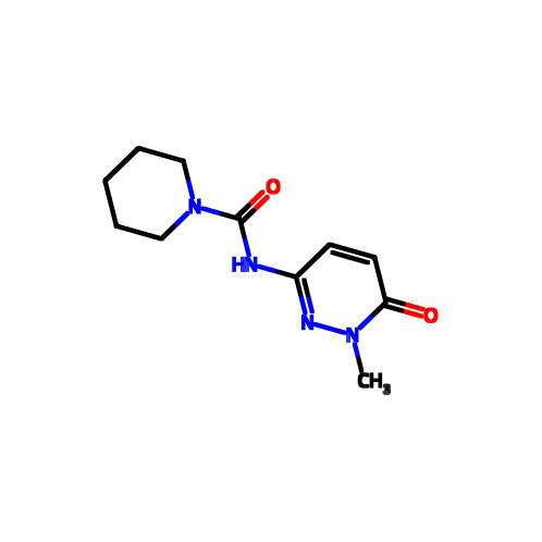 Cn1nc(NC(=O)N2CCCCC2)ccc1=O